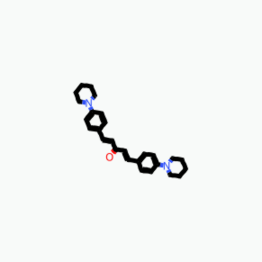 O=C(C=Cc1ccc(N2CCCCC2)cc1)C=Cc1ccc(N2CCCCC2)cc1